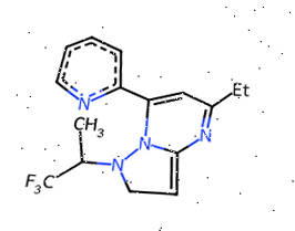 CCC1=NC2=CCN(C(C)C(F)(F)F)N2C(c2ccccn2)=C1